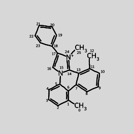 Cc1cccc2c1c1cccc(C)c1c1n2cc(-c2ccccc2)[n+]1C